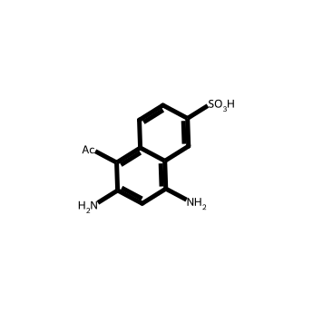 CC(=O)c1c(N)cc(N)c2cc(S(=O)(=O)O)ccc12